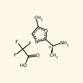 Cc1cnc([C@H](C)N)s1.O=C(O)C(F)(F)F